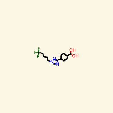 OC(O)c1ccc(-c2ncn(CCCCC(F)(F)F)n2)cc1